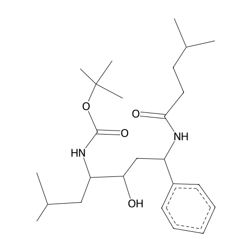 CC(C)CCC(=O)NC(CC(O)C(CC(C)C)NC(=O)OC(C)(C)C)c1ccccc1